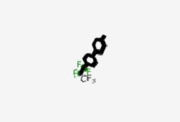 CC1CCC(C2CCC(C(F)(F)C(F)C(F)(F)F)CC2)CC1